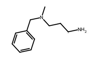 CN(CC[CH]N)Cc1ccccc1